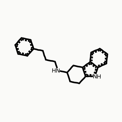 c1ccc(CCCNC2CCc3[nH]c4ccccc4c3C2)cc1